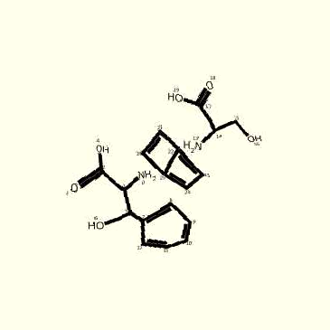 NC(C(=O)O)C(O)c1ccccc1.NC(CO)C(=O)O.c1cc2ccc1-2